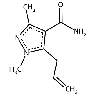 C=CCc1c(C(N)=O)c(C)nn1C